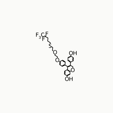 Oc1ccc(C2=C(c3ccc(OCCOCCSCCCC(F)(F)C(F)(F)F)cc3)c3ccc(O)cc3OC2)cc1